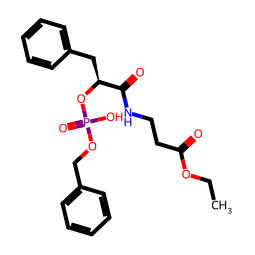 CCOC(=O)CCNC(=O)[C@H](Cc1ccccc1)OP(=O)(O)OCc1ccccc1